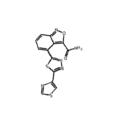 NC(=O)c1onc2cccc(-c3nnc(-c4cscn4)s3)c12